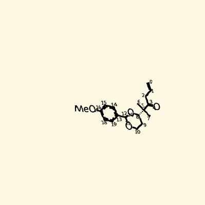 C=CCC(=O)C(C)(C)[C@@H]1CCOC(c2ccc(OC)cc2)O1